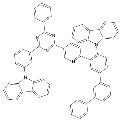 c1ccc(-c2cccc(-c3ccc(-n4c5ccccc5c5ccccc54)c(-c4ccc(-c5nc(-c6ccccc6)nc(-c6cccc(-n7c8ccccc8c8ccccc87)c6)n5)cn4)c3)c2)cc1